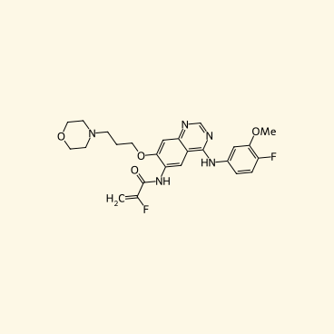 C=C(F)C(=O)Nc1cc2c(Nc3ccc(F)c(OC)c3)ncnc2cc1OCCCN1CCOCC1